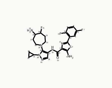 Nc1sc(-c2cc(F)ccc2F)nc1C(=O)Nc1cnn(C2CC2)c1N1CCC(N)C(F)CC1